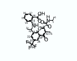 CCNS(=O)(=O)c1oc2c(C(C)Nc3ccccc3C(=O)O)cc(C(F)(F)F)cc2c(=O)c1C